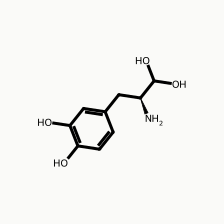 N[C@@H](Cc1ccc(O)c(O)c1)C(O)O